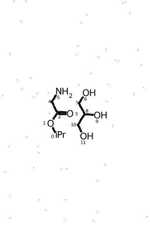 CC(C)OC(=O)CN.OCC(O)CO